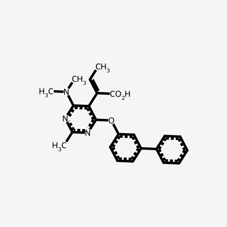 CC=C(C(=O)O)c1c(Oc2cccc(-c3ccccc3)c2)nc(C)nc1N(C)C